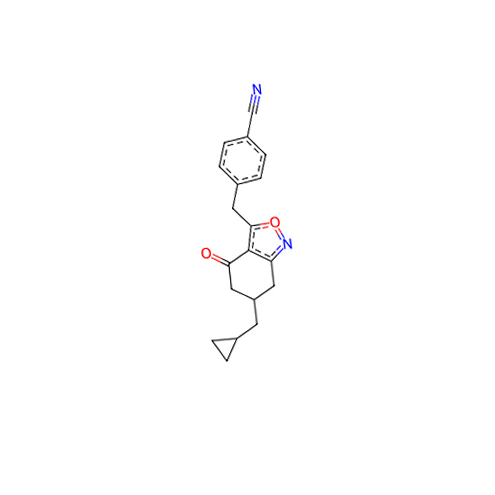 N#Cc1ccc(Cc2onc3c2C(=O)CC(CC2CC2)C3)cc1